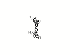 Cc1cnc(NS(=O)(=O)c2ccc(N3CCN(C(=O)[C@H](C)N4CCCc5cc(Cl)ccc54)CC3)cc2)s1